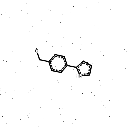 [O]Cc1ccc(-c2ccc[nH]2)cc1